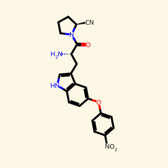 N#C[C@@H]1CCCN1C(=O)[C@@H](N)Cc1c[nH]c2ccc(Oc3ccc([N+](=O)[O-])cc3)cc12